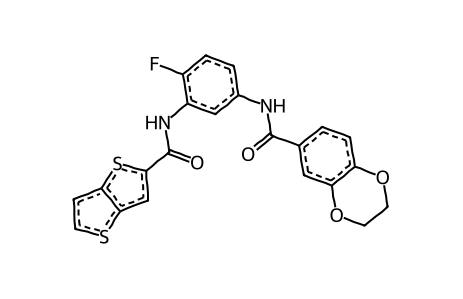 O=C(Nc1ccc(F)c(NC(=O)c2cc3sccc3s2)c1)c1ccc2c(c1)OCCO2